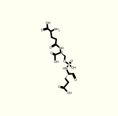 NC(CCC(=O)N[C@@H](COP(=O)(O)N[C@H](C=O)CCC(=O)O)C(=O)O)C(=O)O